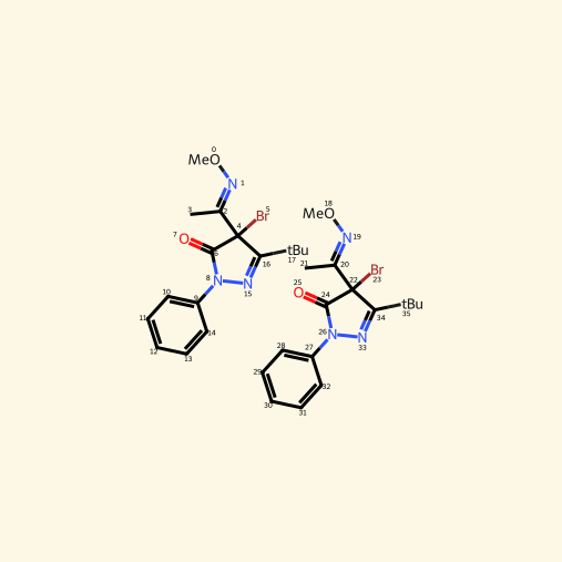 CO/N=C(\C)C1(Br)C(=O)N(c2ccccc2)N=C1C(C)(C)C.CO/N=C(\C)C1(Br)C(=O)N(c2ccccc2)N=C1C(C)(C)C